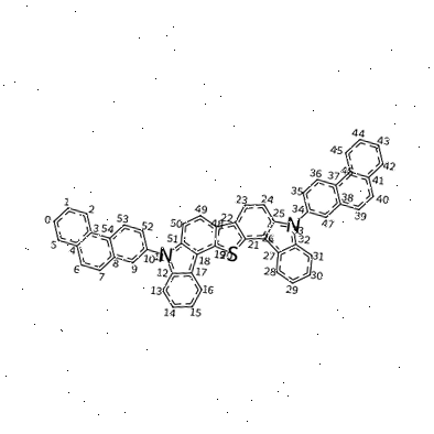 c1ccc2c(c1)ccc1cc(-n3c4ccccc4c4c5sc6c(ccc7c6c6ccccc6n7-c6ccc7c(ccc8ccccc87)c6)c5ccc43)ccc12